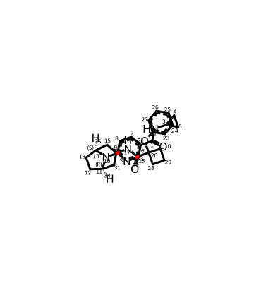 O=C(NC1CC1)c1ccc(N2[C@@H]3CC[C@H]2C[C@@H](NC(=O)C2(Oc4ccccc4)CCC2)C3)nc1